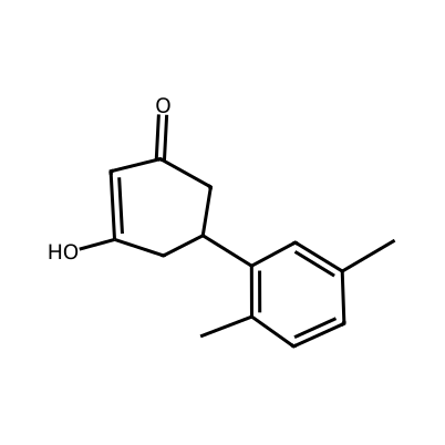 Cc1ccc(C)c(C2CC(=O)C=C(O)C2)c1